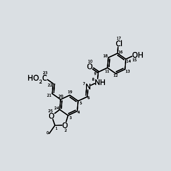 CC1Oc2cc(/C=N/NC(=O)c3ccc(O)c(Cl)c3)cc(/C=C/C(=O)O)c2O1